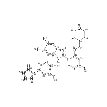 Fc1cc2nc(-c3ccc(Cl)cc3OCC3CCOCC3)n(Cc3ccc(-c4nnn[nH]4)cc3F)c2cc1F